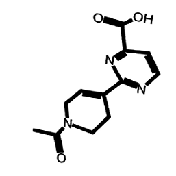 CC(=O)N1CC=C(c2nccc(C(=O)O)n2)CC1